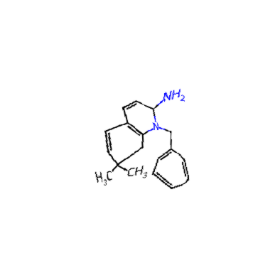 CC1(C)C=CC2=C(C1)N(Cc1ccccc1)C(N)C=C2